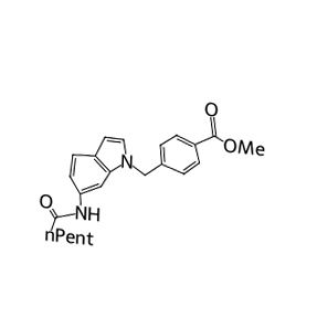 CCCCCC(=O)Nc1ccc2ccn(Cc3ccc(C(=O)OC)cc3)c2c1